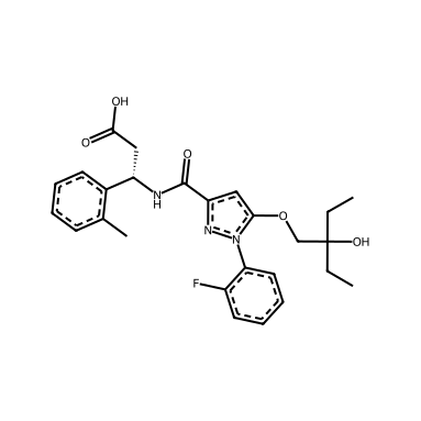 CCC(O)(CC)COc1cc(C(=O)N[C@@H](CC(=O)O)c2ccccc2C)nn1-c1ccccc1F